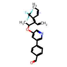 C=C/C(=C(\C=C/C)C(F)(F)F)C(C)Oc1cncc(-c2ccc(C=O)cc2)c1